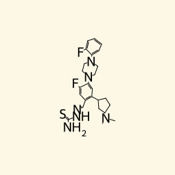 CN(C)[C@@H]1CCC(c2cc(N3CCN(c4ccccc4F)CC3)c(F)cc2/C=N/NC(N)=S)C1